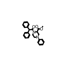 COC(=O)C1CN(c2ccccc2)CCN1C(=O)C(c1ccccc1)c1ccccc1